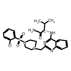 CC(C)[C@H](Nc1nc(CN2CCN(S(=O)(=O)c3ccccc3Cl)CC2)nc2ccccc12)C(N)=O